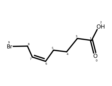 O=C(O)CCC/C=C\CBr